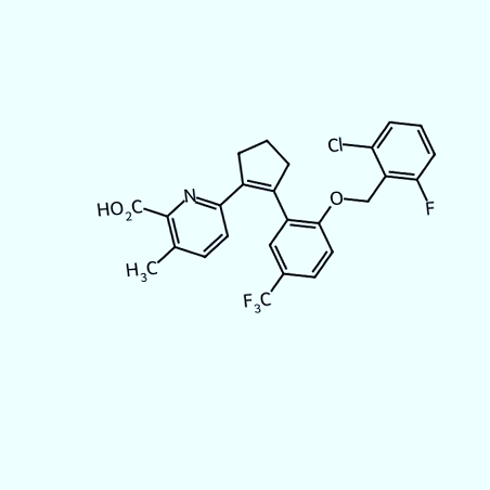 Cc1ccc(C2=C(c3cc(C(F)(F)F)ccc3OCc3c(F)cccc3Cl)CCC2)nc1C(=O)O